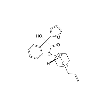 C=CC[N+]12CCC(CC1)[C@@H](OC(=O)C(O)(c1ccccc1)c1ccco1)C2